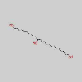 OCCCCCCCCCCCCCC(O)CCCCCCCCCCO